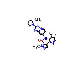 Cc1ccnc(-c2cnn(C)c2C(=O)Nc2ccn3nc(N4CCC[C@@H]4C)nc3c2)c1